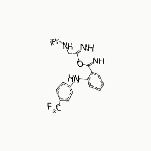 CC(C)NCC(=N)OC(=N)c1ccccc1Nc1ccc(C(F)(F)F)cc1